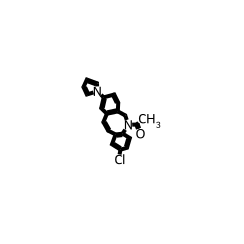 CC(=O)N1Cc2ccc(-n3cccc3)cc2C=Cc2cc(Cl)ccc21